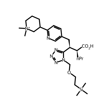 CCC[C@H](C(=O)O)[C@H](Cc1ccc(C2CCC[N+](C)(C)C2)nc1)c1nnnn1COCC[Si](C)(C)C